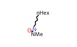 CCCCCCCCCCCC[N]C(=O)NC